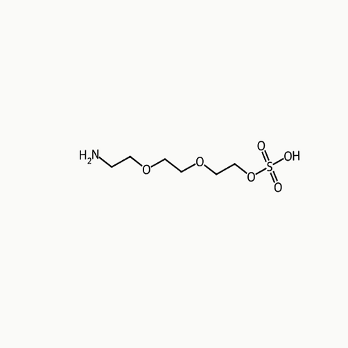 NCCOCCOCCOS(=O)(=O)O